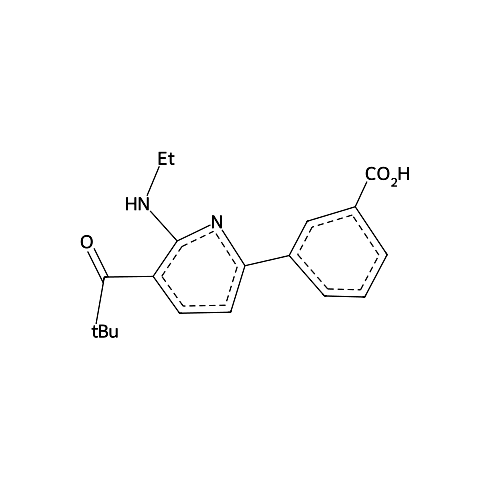 CCNc1nc(-c2cccc(C(=O)O)c2)ccc1C(=O)C(C)(C)C